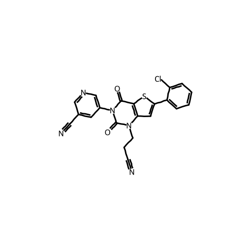 N#CCCn1c(=O)n(-c2cncc(C#N)c2)c(=O)c2sc(-c3ccccc3Cl)cc21